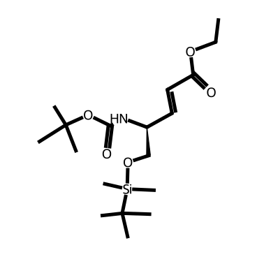 CCOC(=O)C=C[C@@H](CO[Si](C)(C)C(C)(C)C)NC(=O)OC(C)(C)C